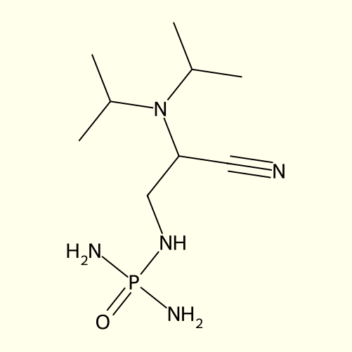 CC(C)N(C(C)C)C(C#N)CNP(N)(N)=O